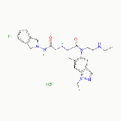 CCNCCN(C(=O)CNCC(=O)N(C)N1Cc2ccc(F)cc2C1)c1cc2cnn(CC)c2cc1C.Cl